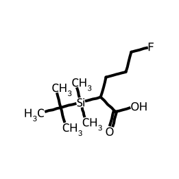 CC(C)(C)[Si](C)(C)C(CCCF)C(=O)O